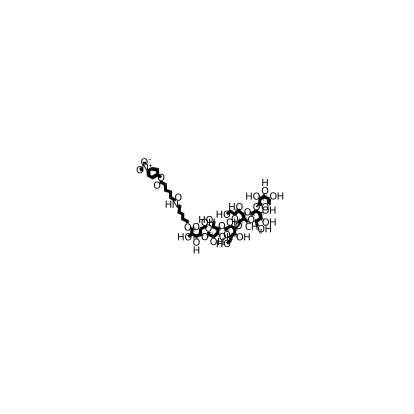 CCC1[C@H](O[C@@H]2C(O)[C@@H](O[C@H]3C(CO)O[C@@H](O[C@@H]4C(CO)O[C@@H](OCCCCCNC(=O)CCCCC(=O)Oc5ccc([N+](=O)[O-])cc5)C(O)[C@H]4O)C(O)[C@H]3O)OC(CO)[C@@H]2O)OC(CO)[C@H](O)[C@@H]1O[C@@H]1OC(CO)[C@H](O)[C@H](O)C1O[C@@H]1OC=C(O)[C@H](O)[C@@H]1O